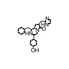 O=c1c(Cc2ncc[nH]2)cc2c(Cc3ccccc3)[nH]c(-c3ccc(O)cc3)cn1-2